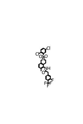 Cc1ccc2c(c1NC(=O)Cc1ccc(C(F)(F)F)c(F)c1)CCN(S(=O)(=O)c1cc(Cl)ccc1Cl)C2